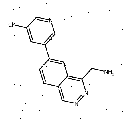 NCc1nncc2ccc(-c3cncc(Cl)c3)cc12